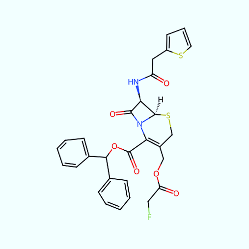 O=C(Cc1cccs1)N[C@@H]1C(=O)N2C(C(=O)OC(c3ccccc3)c3ccccc3)=C(COC(=O)CF)CS[C@H]12